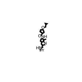 Cc1c(NC(=O)c2ccc(OCC3CC3)cc2)ccc2cc(CNC(C)C)cnc12